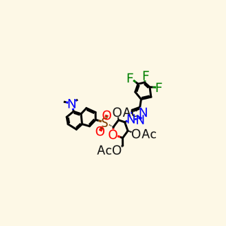 CC(=O)OCC1O[C@H](S(=O)(=O)c2ccc3c(N(C)C)cccc3c2)[C@@H](OC(C)=O)C(n2cc(-c3cc(F)c(F)c(F)c3)nn2)[C@H]1OC(C)=O